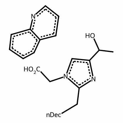 CCCCCCCCCCCc1nc(C(C)O)cn1CC(=O)O.c1ccc2ncccc2c1